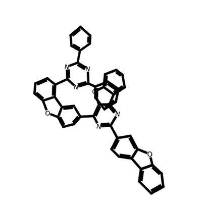 c1ccc(-c2nc(-c3ccccc3)nc(-c3cccc4oc5ccc(-c6nc(-c7ccc8c(c7)oc7ccccc78)nc7c6oc6ccccc67)cc5c34)n2)cc1